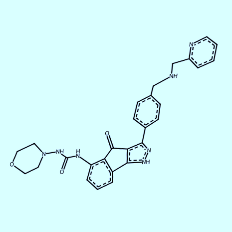 O=C(Nc1cccc2c1C(=O)c1c(-c3ccc(CNCc4ccccn4)cc3)n[nH]c1-2)NN1CCOCC1